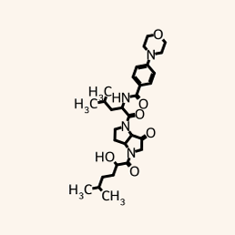 CC(C)CCC(O)C(=O)N1CC(=O)C2C1CCN2C(=O)C(CC(C)C)NC(=O)c1ccc(N2CCOCC2)cc1